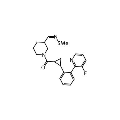 CS/N=C\C1CCCN(C(=O)C2CC2c2ccccc2-c2ncccc2F)C1